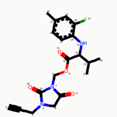 C#CCN1CC(=O)N(COC(=O)C(Nc2ccc(C)cc2F)C(C)C)C1=O